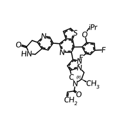 C=CC(=O)N1Cc2cc(-c3nc(-c4cnc5c(c4)CNC(=O)C5)c4ccsc4c3-c3c(F)cc(F)cc3OC(C)C)nn2C[C@H]1C